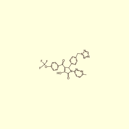 Cc1ccc(N2C(=O)C(O)=C(C(=O)c3ccc(OC(F)(F)F)cc3)C2c2ccc(Cn3ncnn3)cc2)nn1